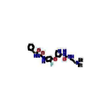 CCN(CC)CCCNC(=O)Nc1cc(Oc2ccc(NC(=O)NC(=O)Cc3ccccc3)cc2F)ccn1